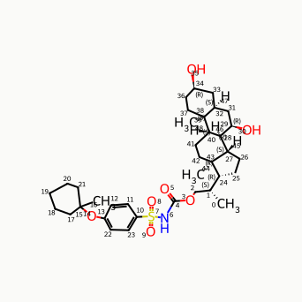 C[C@H](COC(=O)NS(=O)(=O)c1ccc(OC2(C)CCCCC2)cc1)[C@H]1CC[C@H]2[C@@H]3[C@H](O)C[C@@H]4C[C@H](O)CC[C@]4(C)[C@H]3CC[C@]12C